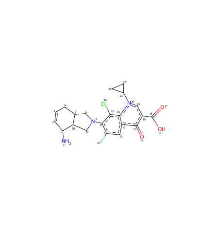 NC1C=CCC2CN(c3c(F)cc4c(=O)c(C(=O)O)cn(C5CC5)c4c3Cl)CC12